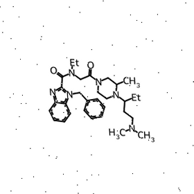 CCC(CCN(C)C)N1CCN(C(=O)CN(CC)C(=O)c2nc3ccccc3n2Cc2ccccc2)CC1C